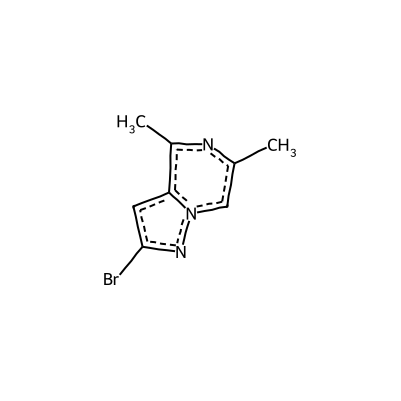 Cc1cn2nc(Br)cc2c(C)n1